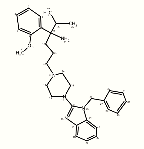 COc1ccccc1C(N)(CCCN1CCN(c2nc3ccccc3n2Cc2ccccc2)CC1)C(C)C